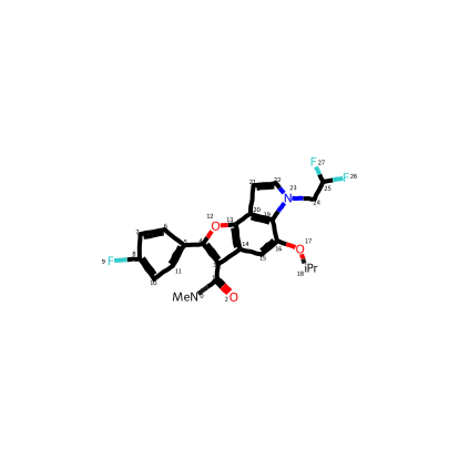 CNC(=O)c1c(-c2ccc(F)cc2)oc2c1cc(OC(C)C)c1c2ccn1CC(F)F